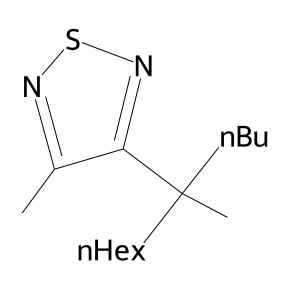 CCCCCCC(C)(CCCC)c1nsnc1C